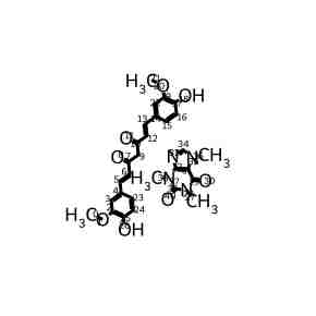 COc1cc(C=CC(=O)CC(=O)C=Cc2ccc(O)c(OC)c2)ccc1O.Cn1c(=O)c2c(ncn2C)n(C)c1=O